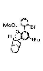 COCOc1c(-c2ccccc2Br)cc(C(C)(C)C)cc1C1(C)CC2CCCC(C2)C1